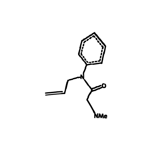 C=CCN(C(=O)CNC)c1ccccc1